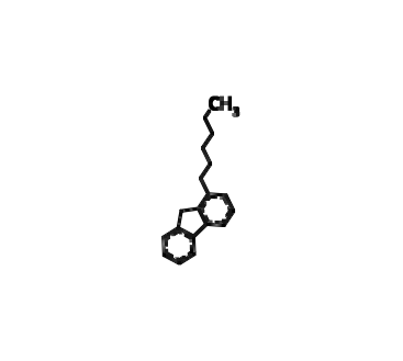 CCCCCCc1cccc2c1Cc1ccccc1-2